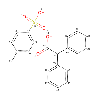 Cc1ccc(S(=O)(=O)O)cc1.O=C(O)C(c1ccccc1)c1ccccc1